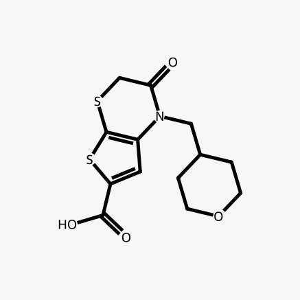 O=C(O)c1cc2c(s1)SCC(=O)N2CC1CCOCC1